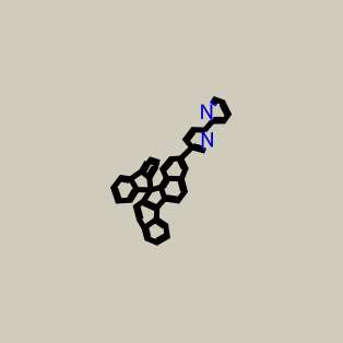 c1ccc(-c2ccc(-c3ccc4c5c(ccc4c3)-c3c(ccc4ccccc34)C53c4ccccc4-c4ccccc43)cn2)nc1